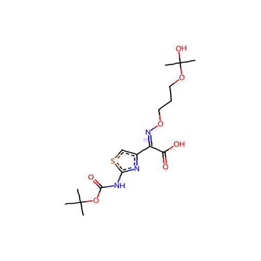 CC(C)(C)OC(=O)Nc1nc(/C(=N/OCCCOC(C)(C)O)C(=O)O)cs1